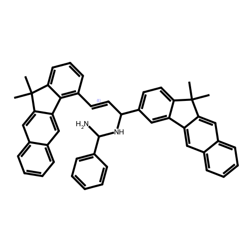 CC1(C)c2ccc(C(/C=C/c3cccc4c3-c3cc5ccccc5cc3C4(C)C)NC(N)c3ccccc3)cc2-c2cc3ccccc3cc21